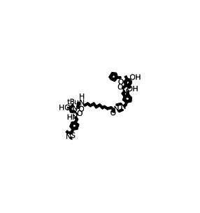 Cc1ncsc1-c1ccc(CNC(=O)[C@@H]2C[C@@H](O)CN2C(=O)[C@@H](NCCCCCCCCCCC(=O)N2CCN(Cc3ccc4c(c3)CN(C(=O)c3c(O)cc(O)c(C)c3OCc3ccccc3)C4)CC2)C(C)(C)C)cc1